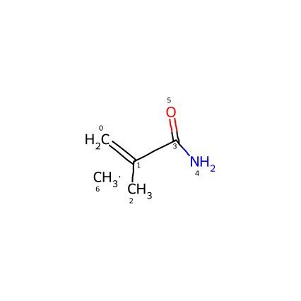 C=C(C)C(N)=O.[CH3]